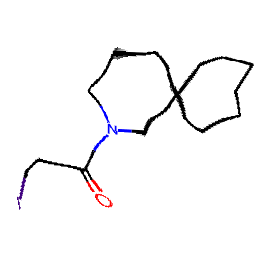 O=C(CI)N1CCCC2(CCCC2)C1